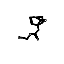 CCC(C)COC(=O)CC12C=CC(CC1)C2=O